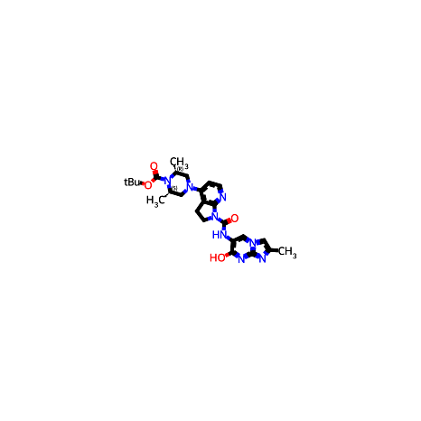 Cc1cn2cc(NC(=O)N3CCc4c(N5C[C@@H](C)N(C(=O)OC(C)(C)C)[C@@H](C)C5)ccnc43)c(O)nc2n1